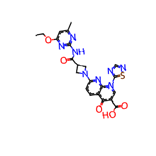 CCOc1cc(C)nc(NC(=O)C2CN(c3ccc4c(=O)c(C(=O)O)cn(-c5ncns5)c4n3)C2)n1